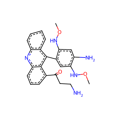 CONc1cc(-c2c3ccccc3nc3cccc(C(=O)CCN)c23)c(NOC)cc1N